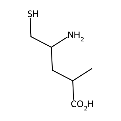 CC(CC(N)CS)C(=O)O